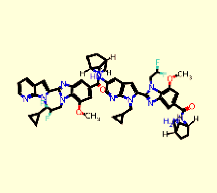 COc1cc(C(=O)N2C[C@H]3CC[C@@H]2[C@@H]3N)cc2nc(-c3cc4cc(N[C@@H]5[C@@H]6CC[C@H]5N(C(=O)c5cc(OC)c7c(c5)nc(-c5cc8cccnc8n5CC5CC5)n7CC(F)F)C6)cnc4n3CC3CC3)n(CC(F)F)c12